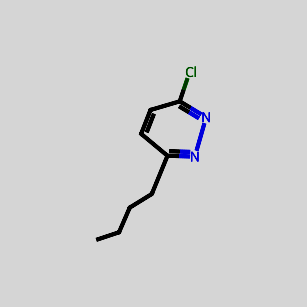 CCCCc1ccc(Cl)nn1